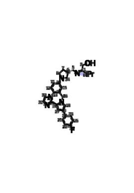 CC(C)/C(CO)=N/C[C@H]1CCN(c2ccc3c(c2)Cn2cc(-c4ccc(F)cc4)cc2-c2nccn2-3)C1